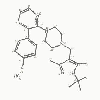 Cc1nn(C(C)(C)C)c(C)c1CN1CCN(c2nccnc2-c2ccc(F)cc2)CC1.Cl